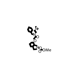 COC(=O)ON1CCc2cccc(OCC(=O)N(CCN(C)C)Cc3ccccc3)c2C1